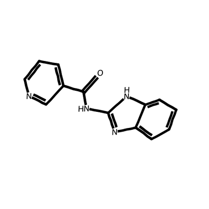 O=C(Nc1nc2ccccc2[nH]1)c1cccnc1